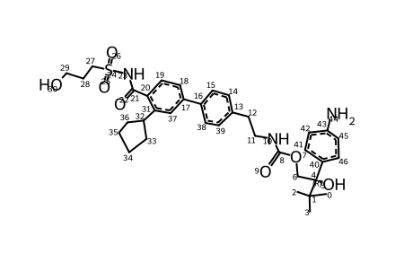 CC(C)(C)[C@](O)(COC(=O)NCCc1ccc(-c2ccc(C(=O)NS(=O)(=O)CCCO)c(C3CCCC3)c2)cc1)c1ccc(N)cc1